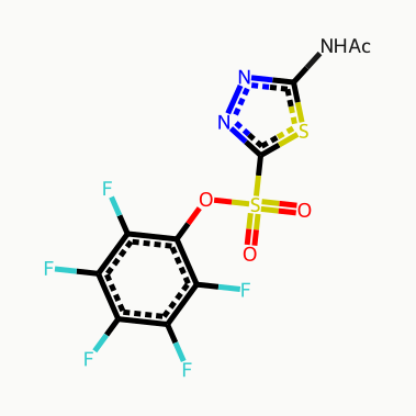 CC(=O)Nc1nnc(S(=O)(=O)Oc2c(F)c(F)c(F)c(F)c2F)s1